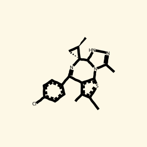 CC1=NNC2N1c1sc(C)c(C)c1C(c1ccc(Cl)cc1)=N[C@]21C[C@H]1C